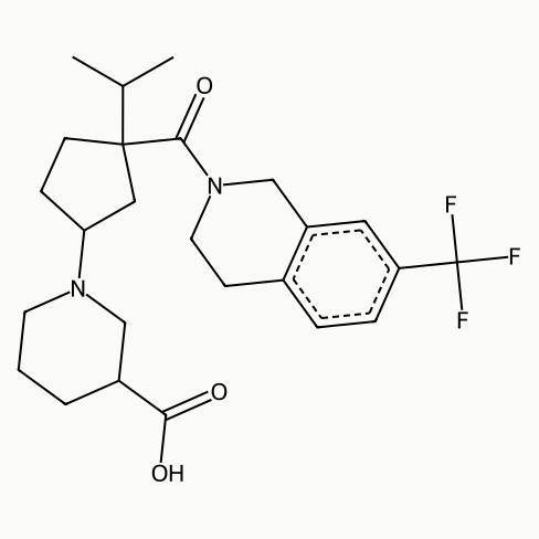 CC(C)C1(C(=O)N2CCc3ccc(C(F)(F)F)cc3C2)CCC(N2CCCC(C(=O)O)C2)C1